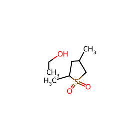 CC1CC(C)S(=O)(=O)C1.CCO